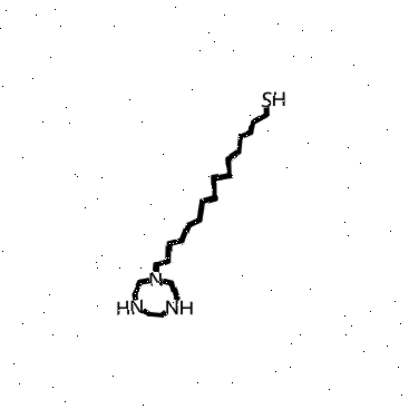 SCCCCCCCCCCCCCCCCN1CCNCCNCC1